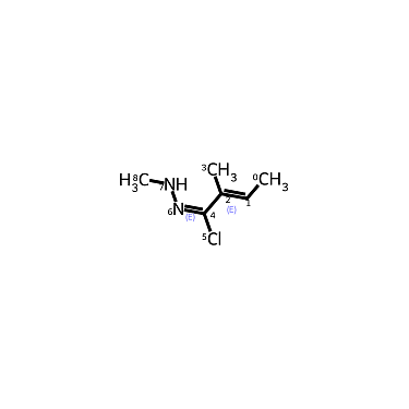 C/C=C(C)/C(Cl)=N\NC